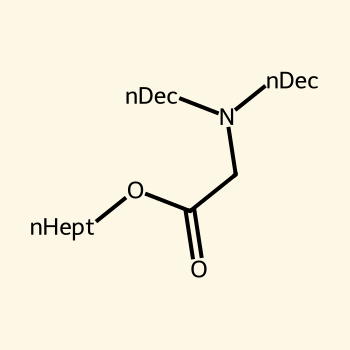 CCCCCCCCCCN(CCCCCCCCCC)CC(=O)OCCCCCCC